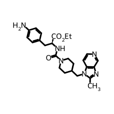 CCOC(=O)[C@H](Cc1ccc(N)cc1)NC(=O)N1CCC(Cn2c(C)nc3cnccc32)CC1